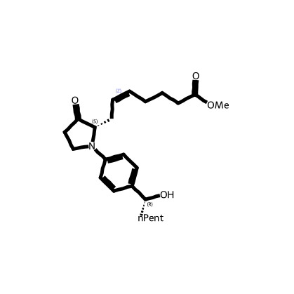 CCCCC[C@@H](O)c1ccc(N2CCC(=O)[C@@H]2C/C=C\CCCC(=O)OC)cc1